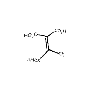 CCCCCCC(CC)=C(C(=O)O)C(=O)O